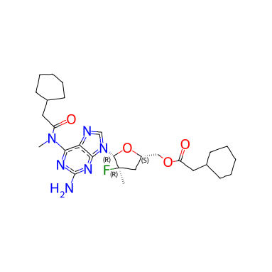 CN(C(=O)CC1CCCCC1)c1nc(N)nc2c1ncn2[C@@H]1O[C@H](COC(=O)CC2CCCCC2)C[C@@]1(C)F